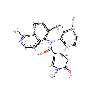 Cc1ccc2c(C)nccc2c1NC(=O)C1=CN(C)C(=O)C[C@H]1c1ccc(F)cc1